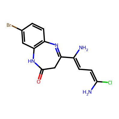 N/C(=C\C=C(/N)Cl)C1=Nc2ccc(Br)cc2NC(=O)C1